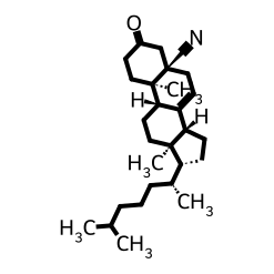 CC(C)CCC[C@@H](C)[C@H]1CC[C@H]2C3=CC[C@@]4(C#N)CC(=O)CC[C@]4(C)[C@H]3CC[C@]12C